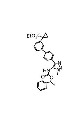 CCOC(=O)C1(c2cccc(-c3ccc(-c4nnn(C)c4NC(=O)OC(C)c4ccccc4)cc3)c2)CC1